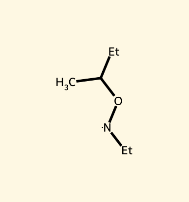 CC[N]OC(C)CC